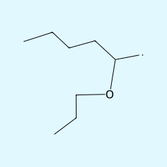 [CH2]C(CCCC)OCCC